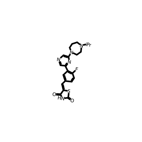 CC(C)N1CCCN(c2cncc(-c3cc(/C=C4\SC(=O)NC4=O)ccc3F)n2)CC1